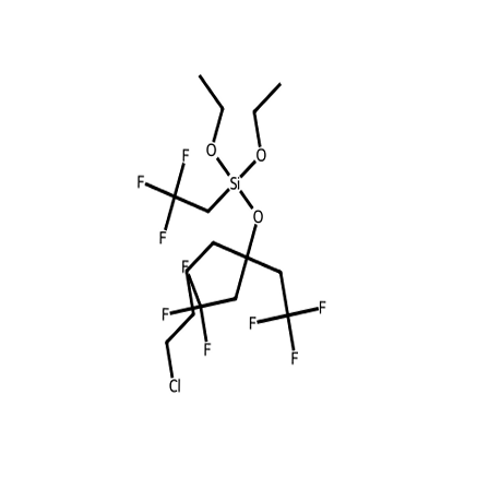 CCO[Si](CC(F)(F)F)(OCC)OC(CCCCCl)(CC(F)(F)F)CC(F)(F)F